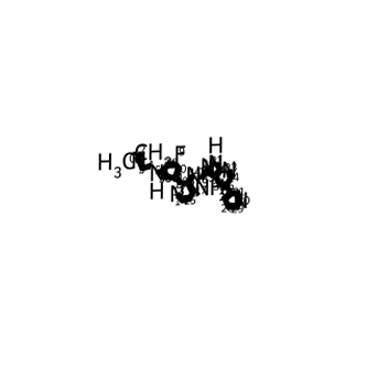 CN(C)CCNc1cc(F)cc(-c2nccc3[nH]c(-c4n[nH]c5ncc(-c6cccnc6)cc45)nc23)c1